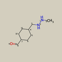 CNNCC1CCC(C=O)CC1